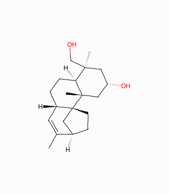 CC1=C[C@@H]2CC[C@H]3[C@@](C)(CO)C[C@H](O)C[C@]3(C)[C@@]23CC[C@@H]1C3